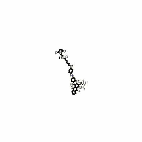 CN(CCCCCC(=O)NCCN1C(=O)C=CC1=O)c1ccc(/N=N/c2ccc(Nc3cc(S(=O)(=O)O)c(N)c4c3C(=O)c3ccccc3C4=O)c(S(=O)(=O)O)c2)cc1